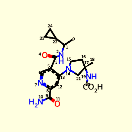 CC(NC(=O)c1cnc(C(N)=O)cc1N1CC[C@](C)(NC(=O)O)C1)C1CC1